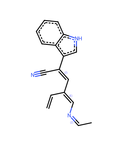 C=CC(/C=C(\C#N)c1c[nH]c2ccccc12)=C\N=C/C